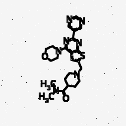 CN(C)C(=O)C1CCN(Cc2cc3c(N4CCOCC4)nc(-c4cncnc4)nc3s2)CC1